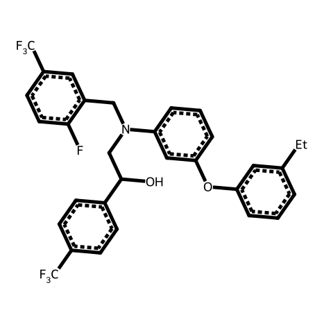 CCc1cccc(Oc2cccc(N(Cc3cc(C(F)(F)F)ccc3F)CC(O)c3ccc(C(F)(F)F)cc3)c2)c1